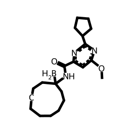 BC1(NC(=O)c2cc(OC)nc(C3CCCC3)n2)CCCCCCCCC1